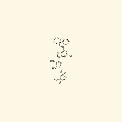 O=P(O)(O)CP(=O)(O)OC[C@H]1O[C@@H](n2cnc3c(N4CC5(CCOCC5)c5ccccc54)nc(Cl)nc32)C(O)C1O